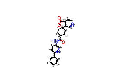 O=C1O[C@]2(CC[C@@H](C(=O)Nc3ccc(-c4ccccc4)nc3)CC2)c2cnccc21